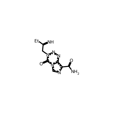 CCC(=N)Cn1nnc2c(C(N)=O)ncn2c1=O